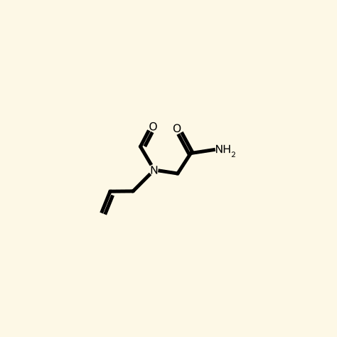 C=CCN(C=O)CC(N)=O